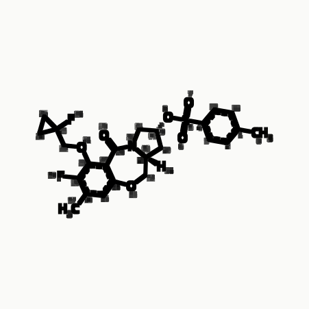 Cc1ccc(S(=O)(=O)O[C@@H]2C[C@@H]3COc4cc(C)c(F)c(OCC5(F)CC5)c4C(=O)N3C2)cc1